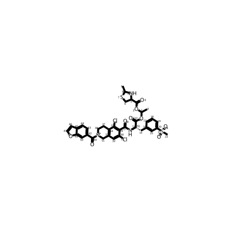 CC(OC(=O)C1CSC(C)N1)OC(=O)[C@H](Cc1cccc(S(C)(=O)=O)c1)NC(=O)c1c(Cl)cc2c(c1Cl)CCN(C(=O)c1ccc3ccoc3c1)C2